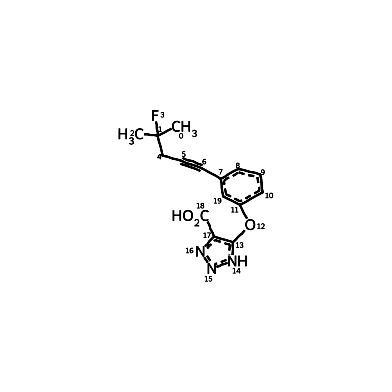 CC(C)(F)CC#Cc1cccc(Oc2[nH]nnc2C(=O)O)c1